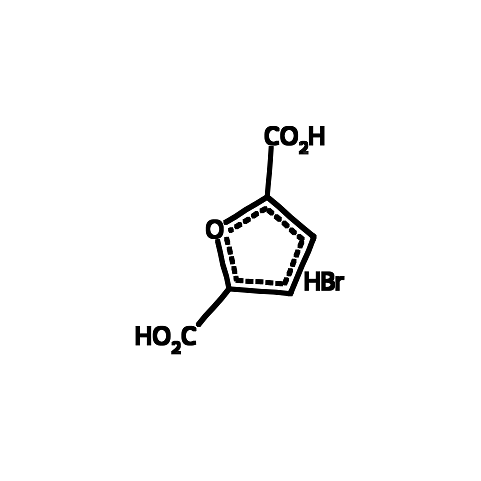 Br.O=C(O)c1ccc(C(=O)O)o1